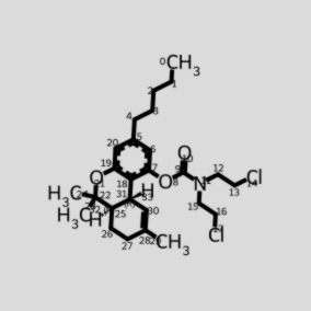 CCCCCc1cc(OC(=O)N(CCCl)CCCl)c2c(c1)OC(C)(C)[C@@H]1CCC(C)=C[C@@H]21